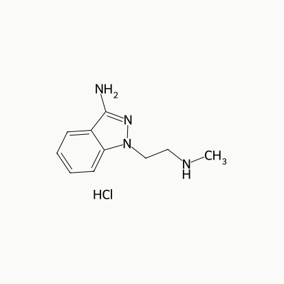 CNCCn1nc(N)c2ccccc21.Cl